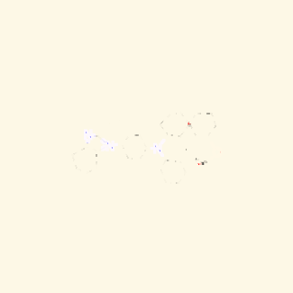 CC1(C)Sc2nc3ccccc3n2-c2ccc(N3c4ccccc4C4(c5ccccc5Oc5ccccc54)c4ccccc43)cc21